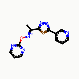 C/C(=N\Oc1ncccn1)c1nnc(-c2cccnc2)s1